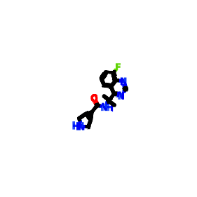 CC(C)(NC(=O)C1C2CNCC21)c1ncnc2c(F)cccc12